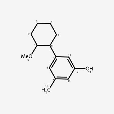 COC1CCCCC1c1cc(C)cc(O)c1